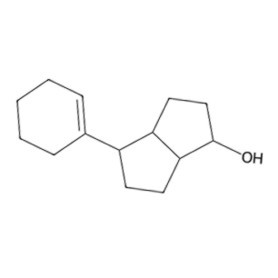 OC1CCC2C(C3=CCCCC3)CCC12